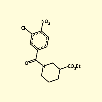 CCOC(=O)C1CCCN(C(=O)c2ccc([N+](=O)[O-])c(Cl)c2)C1